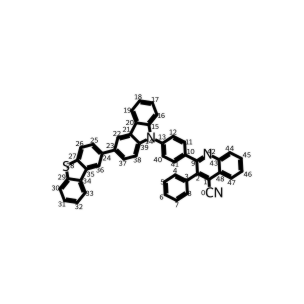 N#Cc1c(-c2ccccc2)c(-c2ccc(-n3c4ccccc4c4cc(-c5ccc6sc7ccccc7c6c5)ccc43)cc2)nc2ccccc12